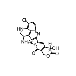 CC[C@@]1(O)C(=O)OCc2c1cc1n(c2=O)Cc2c-1nc1ccc(Cl)c3c1c2C(NC(C)=O)CN3